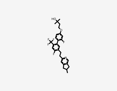 CC1Cc2cnc(CCc3cc(-c4ccc(OCCC(C)(C)O)cc4F)c(C(F)(F)F)cc3F)cc2C1